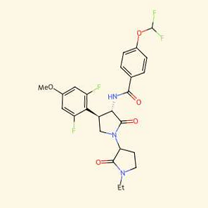 CCN1CCC(N2C[C@@H](c3c(F)cc(OC)cc3F)[C@H](NC(=O)c3ccc(OC(F)F)cc3)C2=O)C1=O